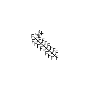 CN(C)[Si](C)(C)C(F)(F)C(F)(F)C(F)(F)C(F)(F)C(F)(F)C(F)(F)C(F)(F)C(F)(F)F